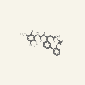 Cc1cn(C)c(=O)c(NC(=O)NC(CC(=O)O)c2cccc(-c3ccccc3OC(F)(F)F)c2)c1O